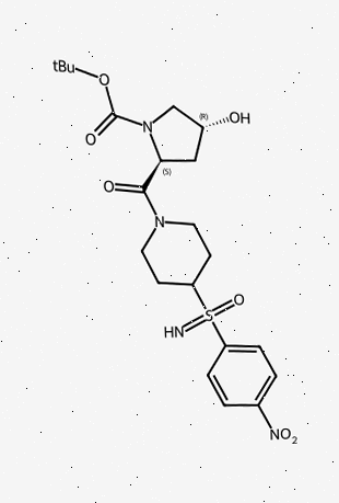 CC(C)(C)OC(=O)N1C[C@H](O)C[C@H]1C(=O)N1CCC(S(=N)(=O)c2ccc([N+](=O)[O-])cc2)CC1